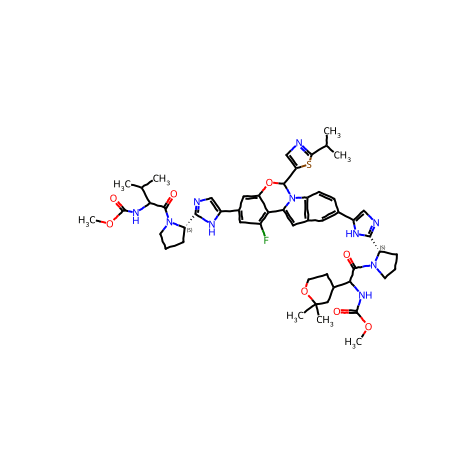 COC(=O)NC(C(=O)N1CCC[C@H]1c1ncc(-c2cc(F)c3c(c2)OC(c2cnc(C(C)C)s2)n2c-3cc3cc(-c4cnc([C@@H]5CCCN5C(=O)C(NC(=O)OC)C5CCOC(C)(C)C5)[nH]4)ccc32)[nH]1)C(C)C